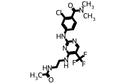 CC(=O)NCCNc1nc(Nc2ccc(C(=O)N(C)C)c(Cl)c2)ncc1C(F)(F)F